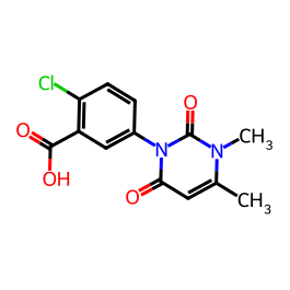 Cc1cc(=O)n(-c2ccc(Cl)c(C(=O)O)c2)c(=O)n1C